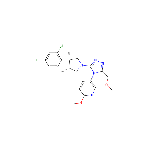 COCc1nnc(N2C[C@H](C)[C@@](C)(c3ccc(F)cc3Cl)C2)n1-c1ccc(OC)nc1